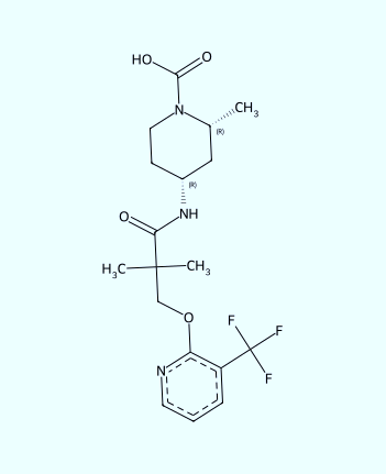 C[C@@H]1C[C@H](NC(=O)C(C)(C)COc2ncccc2C(F)(F)F)CCN1C(=O)O